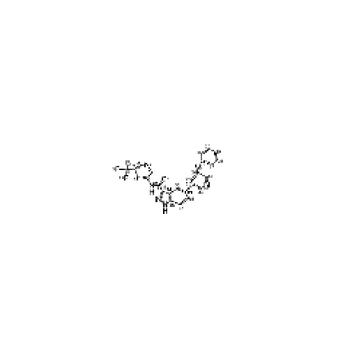 O=C(Nc1cncc(C(F)(F)F)c1)c1n[nH]c2ccc(-c3cncc(Oc4ccccc4)c3)cc12